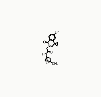 CC12CC(NC(=O)CN3CC4(CC4)c4cc(Br)ccc4C3=O)(CO1)C2